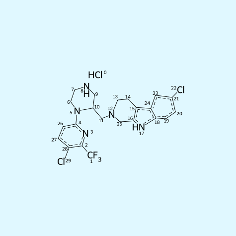 Cl.FC(F)(F)c1nc(N2CCNCC2CN2CCc3c([nH]c4ccc(Cl)cc34)C2)ccc1Cl